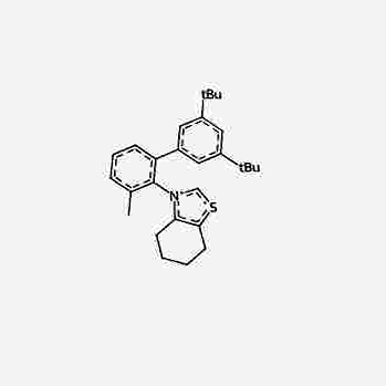 Cc1cccc(-c2cc(C(C)(C)C)cc(C(C)(C)C)c2)c1-[n+]1csc2c1CCCC2